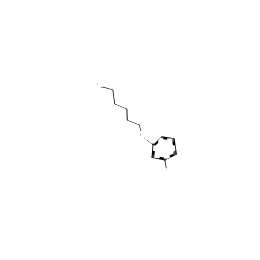 NCCCCCNc1cccc(Cl)c1